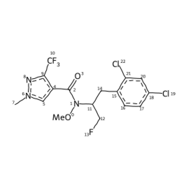 CON(C(=O)c1cn(C)nc1C(F)(F)F)C(CF)Cc1ccc(Cl)cc1Cl